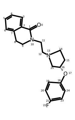 O=C1c2ccccc2CCN1CCN1CC[C@H](Oc2ccc(F)cc2)C1